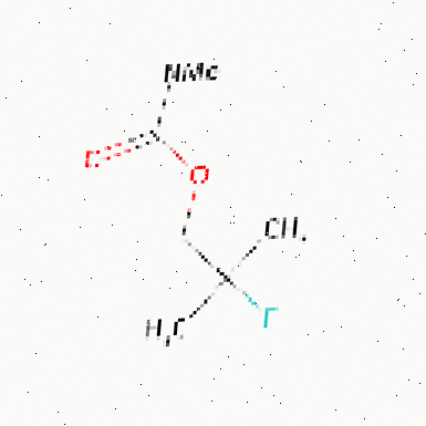 CNC(=O)OCC(C)(C)F